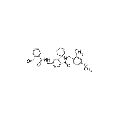 COc1ccc(CN2C(=O)c3ccc(CNC(=O)c4ccccc4C=O)cc3C23C=CCCC3)c(C)c1